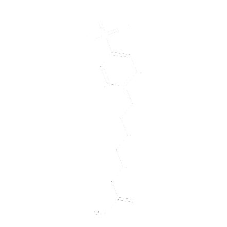 COC(=O)CCCCCCc1ccc(S(=O)(=O)Cl)cc1